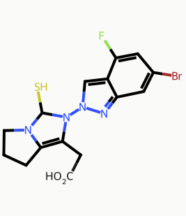 O=C(O)CC1=C2CCCN2C(S)N1n1cc2c(F)cc(Br)cc2n1